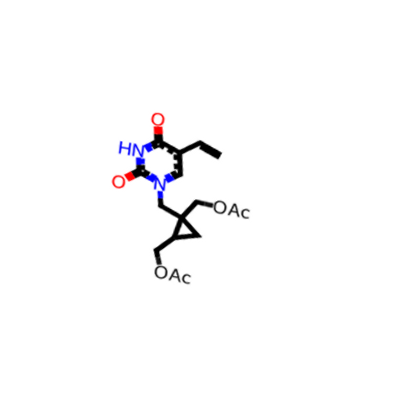 C=Cc1cn(CC2(COC(C)=O)CC2COC(C)=O)c(=O)[nH]c1=O